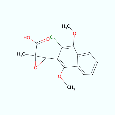 COc1c(Cl)c(C2OC2(C)C(=O)O)c(OC)c2ccccc12